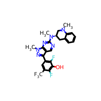 CN1C[C@H](N(C)c2ncc3c(-c4cc(C(F)(F)F)c(F)c(O)c4F)nn(C)c3n2)Cc2ccccc21